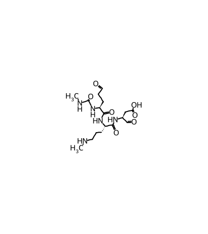 CNCCC[C@H](NC(=O)[C@H](CCC=O)NC(=O)NC)C(=O)N[C@H](C=O)CC(=O)O